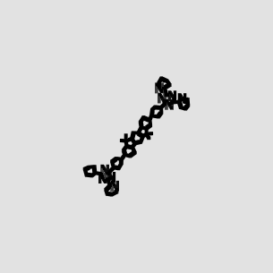 CC1(C)c2cc(-c3ccc(-c4nc(-c5ccccc5)nc(-c5ccccn5)n4)cc3)ccc2-c2cc3c(cc21)-c1ccc(-c2ccc(-c4nc(-c5ccccn5)nc(-c5ccccn5)n4)cc2)cc1C3(C)C